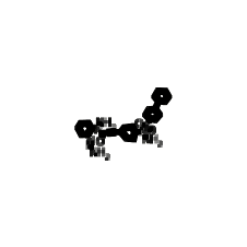 NN=Nc1ccccc1N(N)C(=O)C#Cc1ccc(N(N)S(=O)(=O)c2ccc(-c3ccccc3)cc2)cc1